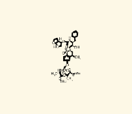 CCCCOC(=O)[C@H](C)NP(=O)(COc1ccc2c(c1)C(C)CN(C[C@@H](O)[C@H](Cc1ccccc1)NC(=O)O[C@H]1CO[C@H]3OCC[C@H]31)S2(=O)=O)N[C@@H](C)C(=O)OCCCC